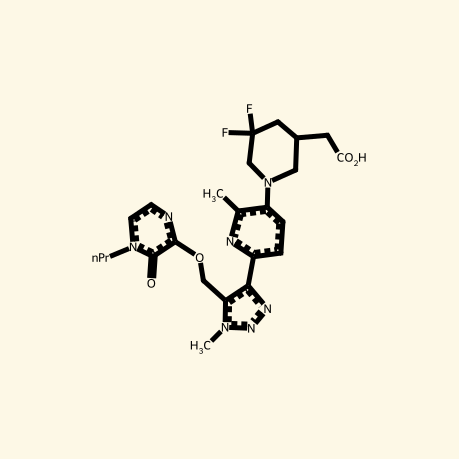 CCCn1ccnc(OCc2c(-c3ccc(N4CC(CC(=O)O)CC(F)(F)C4)c(C)n3)nnn2C)c1=O